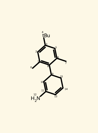 Cc1cc(C(C)(C)C)cc(C)c1C1C=C(N)C=CC1